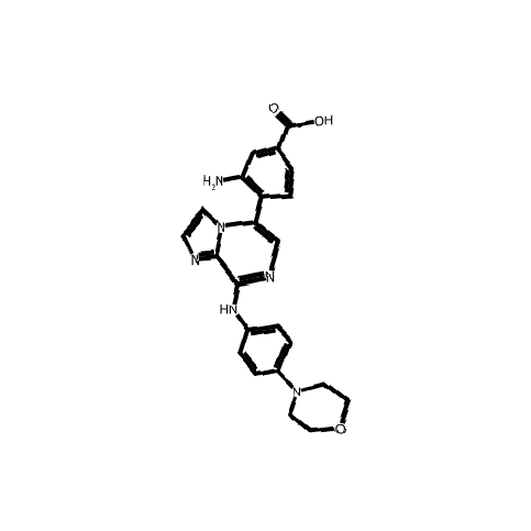 Nc1cc(C(=O)O)ccc1-c1cnc(Nc2ccc(N3CCOCC3)cc2)c2nccn12